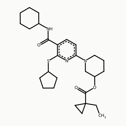 CCC1(C(=O)OC2CCCN(c3ccc(C(=O)NC4CCCCC4)c(SC4CCCC4)n3)C2)CC1